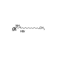 Br.CCCCCCCCCCCCCCCCC(N)n1ccnn1